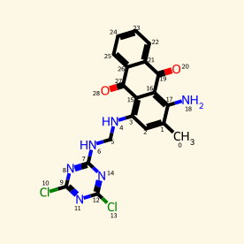 Cc1cc(NCNc2nc(Cl)nc(Cl)n2)c2c(c1N)C(=O)c1ccccc1C2=O